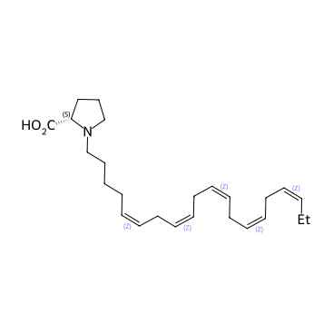 CC/C=C\C/C=C\C/C=C\C/C=C\C/C=C\CCCCN1CCC[C@H]1C(=O)O